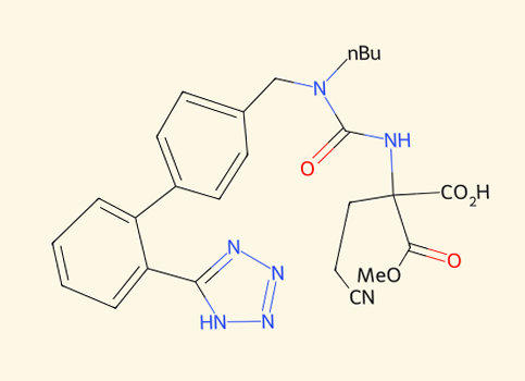 CCCCN(Cc1ccc(-c2ccccc2-c2nnn[nH]2)cc1)C(=O)NC(CCC#N)(C(=O)O)C(=O)OC